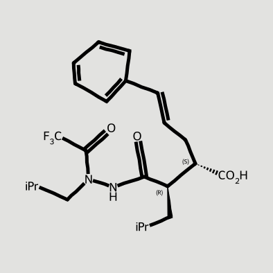 CC(C)C[C@@H](C(=O)NN(CC(C)C)C(=O)C(F)(F)F)[C@H](CC=Cc1ccccc1)C(=O)O